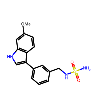 COc1ccc2c(-c3cccc(CNS(N)(=O)=O)c3)c[nH]c2c1